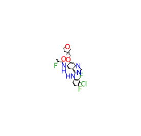 C=C(F)C(=O)Nc1cc2c(Nc3ccc(F)c(Cl)c3F)ncnc2cc1OC[C@@H]1CCOC1